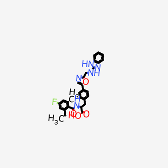 CCc1cc(F)cc(C)c1C(=O)NC(Cc1ccc(-c2cnc(CNc3nc4ccccc4[nH]3)o2)cc1)C(=O)O